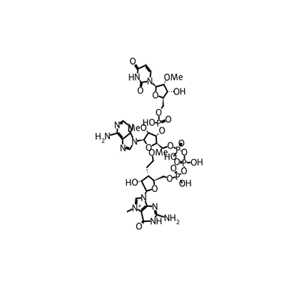 COCC[C@H]1[C@@H](O)[C@H](n2c[n+](C)c3c(=O)[nH]c(N)nc32)O[C@@H]1COP(=O)(O)OP(=O)(O)OP(=O)(O)OC[C@H]1O[C@@H](n2cnc3c(N)ncnc32)[C@H](OC)[C@@H]1OP(=O)(O)OC[C@H]1O[C@@H](n2ccc(=O)[nH]c2=O)[C@H](OC)[C@@H]1O